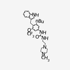 CCCCc1cc(NC(=O)NCCN2CCN(C)CC2)cc(OC(F)(F)F)c1Cc1c[nH]c2ccccc12